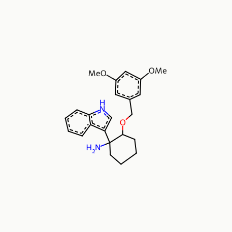 COc1cc(COC2CCCCC2(N)c2c[nH]c3ccccc23)cc(OC)c1